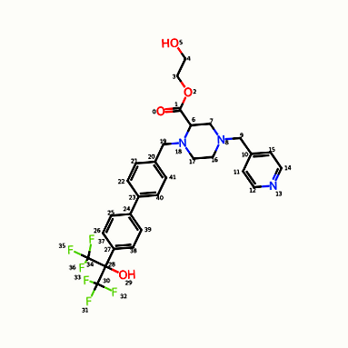 O=C(OCCO)C1CN(Cc2ccncc2)CCN1Cc1ccc(-c2ccc(C(O)(C(F)(F)F)C(F)(F)F)cc2)cc1